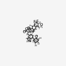 Cc1cc(N2CCOC[C@@H]2C(F)(F)F)cc(F)c1C(=O)N[C@@H](Cc1ccc(-c2nc(C)c(C)n(C)c2=O)c2nccn12)C(=O)O